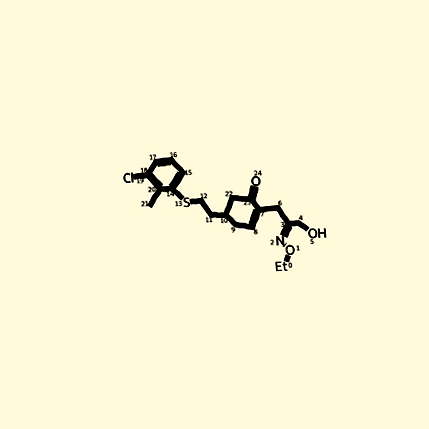 CCON=C(CO)CC1=CCC(CCSc2cccc(Cl)c2C)CC1=O